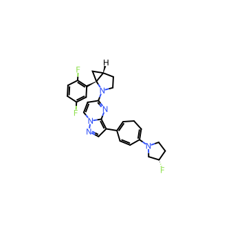 Fc1ccc(F)c([C@@]23C[C@@H]2CCN3c2ccn3ncc(C4=CCC=C(N5CC[C@H](F)C5)C=C4)c3n2)c1